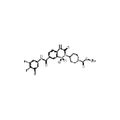 CC(C)(C)OC(=O)N1CCC(N2C(=O)Nc3ccc(C(=O)Nc4cc(F)c(F)c(F)c4)cc3S2(=O)=O)CC1